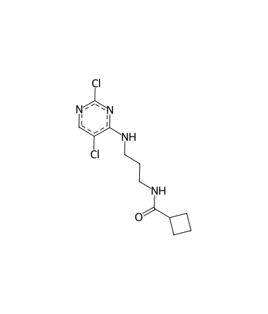 O=C(NCCCNc1nc(Cl)ncc1Cl)C1CCC1